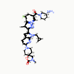 Cc1c(-c2cc3ccc(N4CCC5(CC4)CN(C)C(=O)O5)nc3n2CC2CC2)nn2cc(C(=O)N3CCC[C@@H](N)C3)cc(F)c12